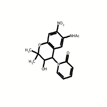 CC(=O)Nc1cc2c(cc1[N+](=O)[O-])OC(C)(C)C(O)C2n1ccccc1=O